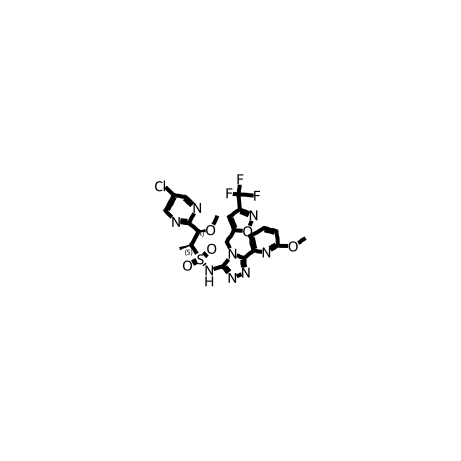 COc1cccc(-c2nnc(NS(=O)(=O)[C@@H](C)[C@H](OC)c3ncc(Cl)cn3)n2Cc2cc(C(F)(F)F)no2)n1